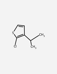 CC(C)c1ccsc1Cl